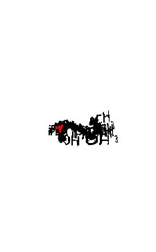 Cc1ncsc1-c1ccc([C@H](C)NC(=O)[C@@H]2C[C@@H](O)CN2C(=O)[C@@H](c2cc(N3CC4(CCN(CCOc5nc(N6CC7CCC(C6)N7C(=O)OC(C)(C)C)c6cnc(-c7cc(O)cc8cccc(C#C[Si](C(C)C)(C(C)C)C(C)C)c78)c(F)c6n5)CC4)C3)no2)C(C)C)cc1